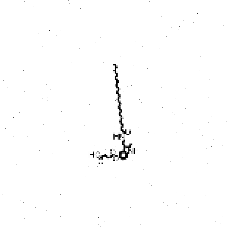 CCCCCCCCCCCCCCCCCCCC(=O)NCCC1c2cc(OC(=O)CCC(=O)O)ccc2NC1C